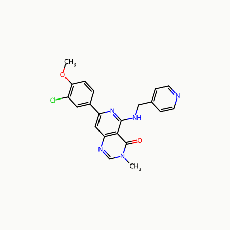 COc1ccc(-c2cc3ncn(C)c(=O)c3c(NCc3ccncc3)n2)cc1Cl